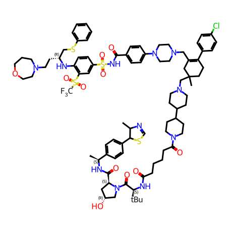 CC1N=CSC1c1ccc([C@H](C)NC(=O)[C@@H]2C[C@@H](O)CN2C(=O)[C@@H](NC(=O)CCCCC(=O)N2CCC(C3CCN(CC4(C)CCC(c5ccc(Cl)cc5)=C(CN5CCN(c6ccc(C(=O)NS(=O)(=O)c7ccc(N[C@H](CCN8CCCOCC8)CSc8ccccc8)c(S(=O)(=O)C(F)(F)F)c7)cc6)CC5)C4)CC3)CC2)C(C)(C)C)cc1